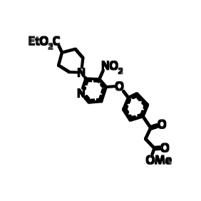 CCOC(=O)C1CCN(c2nccc(Oc3ccc(C(=O)CC(=O)OC)cc3)c2[N+](=O)[O-])CC1